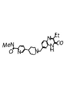 CCC1=Nc2ccc(CN3CCC(c4ccc(C(=O)NC)nc4)CC3)cc2NC1=C=O